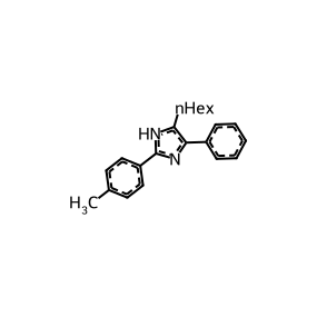 CCCCCCc1[nH]c(-c2ccc(C)cc2)nc1-c1ccccc1